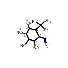 BC(CC)(CC)C1C(C=N)C(C#N)C(C#N)[C@@H](C#N)C1C#N